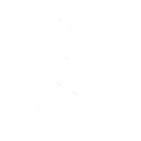 CC(C)(C)[Si](C)(C)OCCN(CC1CC1)C(=O)c1nc(C(c2ccccn2)C2CCCC2)nc(O)c1OCc1ccccc1